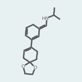 CC(C)N/C=C1/C=C(C2=CCC3(CC2)OCCO3)C=CC1